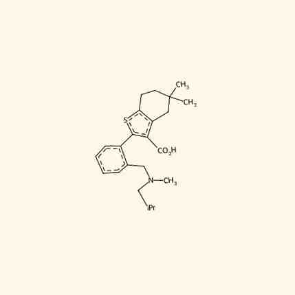 CC(C)CN(C)Cc1ccccc1-c1sc2c(c1C(=O)O)CC(C)(C)CC2